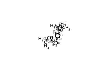 CC(C)(C)OC(=O)N1CCCC1c1ccc(B2OC(C)(C)C(C)(C)O2)c(F)c1